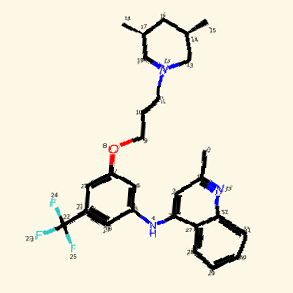 Cc1cc(Nc2cc(OCCCN3C[C@H](C)C[C@H](C)C3)cc(C(F)(F)F)c2)c2ccccc2n1